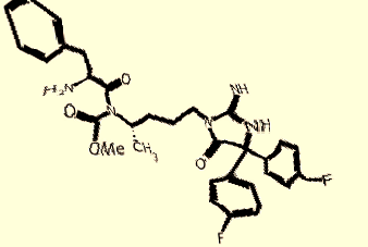 COC(=O)N(C(=O)[C@@H](N)Cc1ccccc1)[C@@H](C)CCCN1C(=N)NC(c2ccc(F)cc2)(c2ccc(F)cc2)C1=O